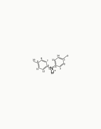 Cc1ccc([N-]c2ccc(C)cc2)cc1.[Li+]